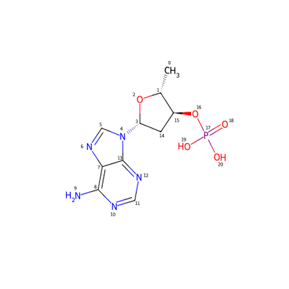 C[C@H]1O[C@@H](n2cnc3c(N)ncnc32)C[C@@H]1OP(=O)(O)O